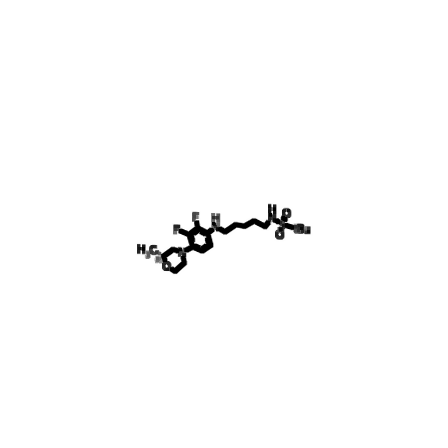 C[C@@H]1CN(c2ccc(NCCCCCNS(=O)(=O)C(C)(C)C)c(F)c2F)CCO1